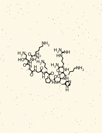 C[C@H](NC(=O)[C@@H](NC(=O)[C@@H](N)CCCCN)[C@@H](O)CN)C(=O)NCC(=O)N[C@H](CCCN)C(=O)N1CCC[C@H]1C(=O)N[C@@H](Cc1cnc[nH]1)C(=O)N[C@@H](CCCCN)C(=O)N[C@H](CCCNC(=N)N)C(N)=O